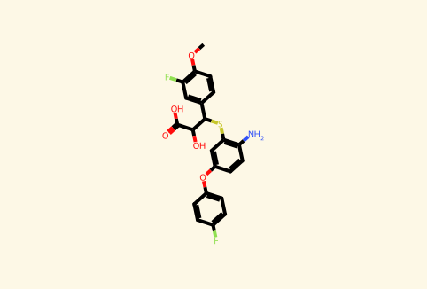 COc1ccc(C(Sc2cc(Oc3ccc(F)cc3)ccc2N)C(O)C(=O)O)cc1F